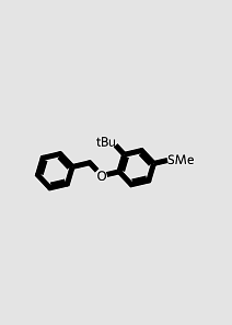 CSc1ccc(OCc2ccccc2)c(C(C)(C)C)c1